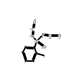 Cc1ccccc1P(=O)(N=C=O)N=C=O